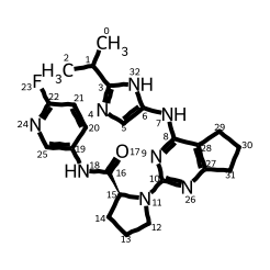 CC(C)c1ncc(Nc2nc(N3CCC[C@H]3C(=O)Nc3ccc(F)nc3)nc3c2CCC3)[nH]1